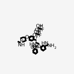 CC(=N)N1CCC(Oc2ccc(C[C@@H](COc3cccc(C(=N)N)c3)NS(=O)(=O)c3ccccc3)cc2)CC1.O=C(O)C(F)(F)F.O=C(O)C(F)(F)F